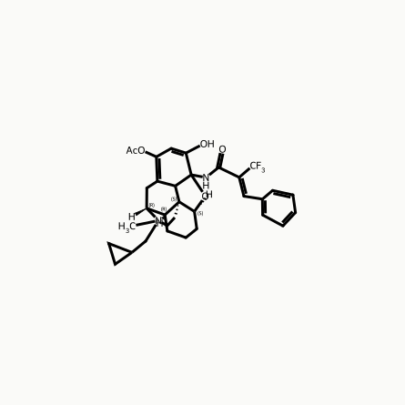 CC(=O)OC1=C2C[C@@H]3[C@@H]4CCC[C@@H]5OC(NC(=O)C(=Cc6ccccc6)C(F)(F)F)(C(O)=C1)C2[C@@]54CC[N+]3(C)CC1CC1